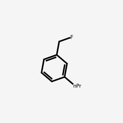 CCCc1cccc(CF)c1